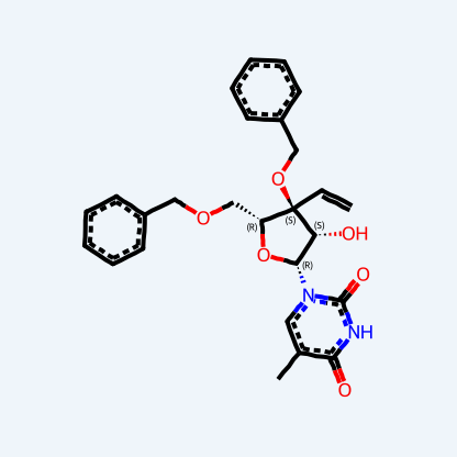 C=C[C@]1(OCc2ccccc2)[C@H](O)[C@H](n2cc(C)c(=O)[nH]c2=O)O[C@@H]1COCc1ccccc1